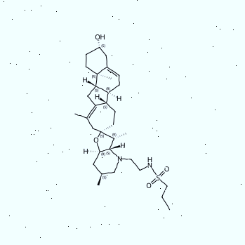 CCCS(=O)(=O)NCCN1C[C@@H](C)C[C@H]2O[C@]3(CC[C@@H]4C(=C(C)C3)C[C@H]3[C@H]4CC=C4C[C@@H](O)CC[C@@]43C)[C@H](C)[C@@H]21